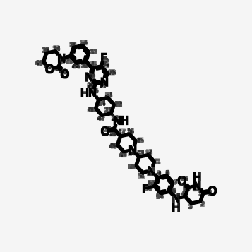 O=C1CCC(Nc2ccc(N3CCC(N4CCC(C(=O)N[C@H]5CC[C@H](Nc6ncc(F)c(-c7cccc(N8CCCOC8=O)c7)n6)CC5)CC4)CC3)c(F)c2)C(=O)N1